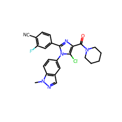 Cn1ncc2cc(-n3c(-c4ccc(C#N)c(F)c4)nc(C(=O)N4CCCCC4)c3Cl)ccc21